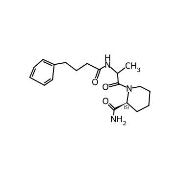 CC(NC(=O)CCCc1ccccc1)C(=O)N1CCCC[C@H]1C(N)=O